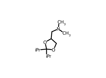 CC(C)C1(C(C)C)OCC(CN(C)C)O1